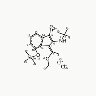 CCOC(C)=C1C(NC(C)(C)C)=[C]([Ti+2])c2cccc(O[Si](C)(C)C)c21.[Cl-].[Cl-]